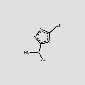 CCc1nnc(N(C#N)C(C)=O)s1